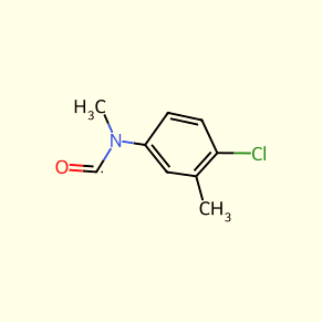 Cc1cc(N(C)[C]=O)ccc1Cl